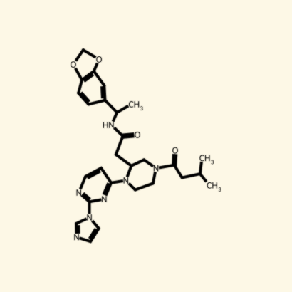 CC(C)CC(=O)N1CCN(c2ccnc(-n3ccnc3)n2)C(CC(=O)NC(C)c2ccc3c(c2)OCO3)C1